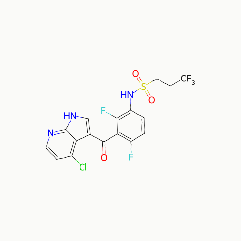 O=C(c1c(F)ccc(NS(=O)(=O)CCC(F)(F)F)c1F)c1c[nH]c2nccc(Cl)c12